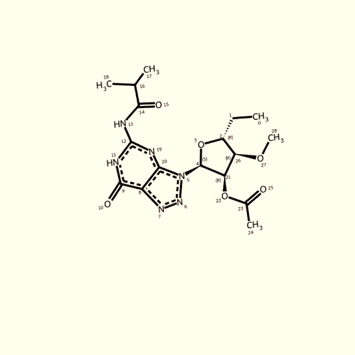 CC[C@H]1O[C@H](n2nnc3c(=O)[nH]c(NC(=O)C(C)C)nc32)[C@H](OC(C)=O)[C@@H]1OC